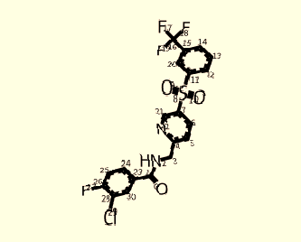 O=C(NCc1ccc(S(=O)(=O)c2cccc(C(F)(F)F)c2)cn1)c1ccc(F)c(Cl)c1